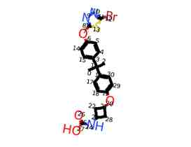 CC(C)(c1ccc(Oc2nnc(Br)s2)cc1)c1ccc(OC2CC(NC(=O)O)C2)cc1